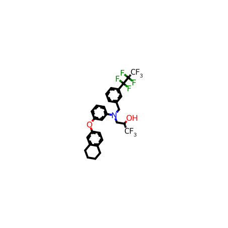 OC(CN(Cc1cccc(C(F)(F)C(F)(F)C(F)(F)F)c1)c1cccc(Oc2ccc3c(c2)CCCC3)c1)C(F)(F)F